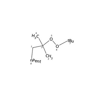 CCCCCCC(C)(C)OOC(C)(C)C